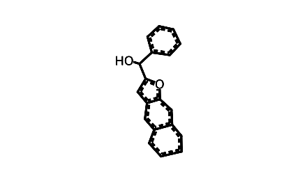 OC(c1ccccc1)c1cc2cc3ccccc3cc2o1